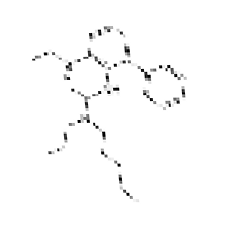 C=C(CC)c1cccc(-c2ccccc2)c1NC(C)N(CCC)CCCCC